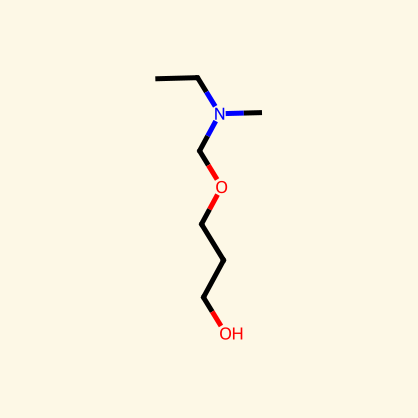 CCN(C)COCCCO